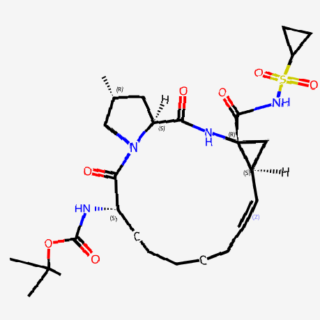 C[C@@H]1C[C@H]2C(=O)N[C@]3(C(=O)NS(=O)(=O)C4CC4)C[C@H]3/C=C\CCCCC[C@H](NC(=O)OC(C)(C)C)C(=O)N2C1